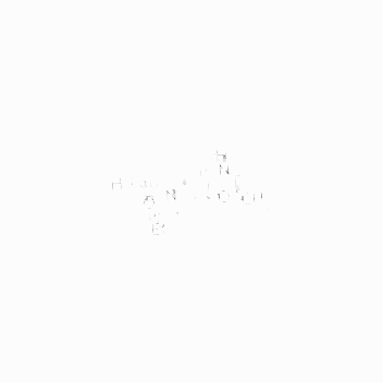 [3H]N1CC(C)OC(CCN2CC(C)OC(CC)C2)C1